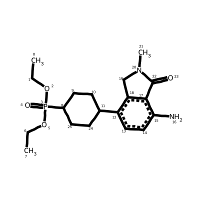 CCOP(=O)(OCC)C1CCC(c2ccc(N)c3c2CN(C)C3=O)CC1